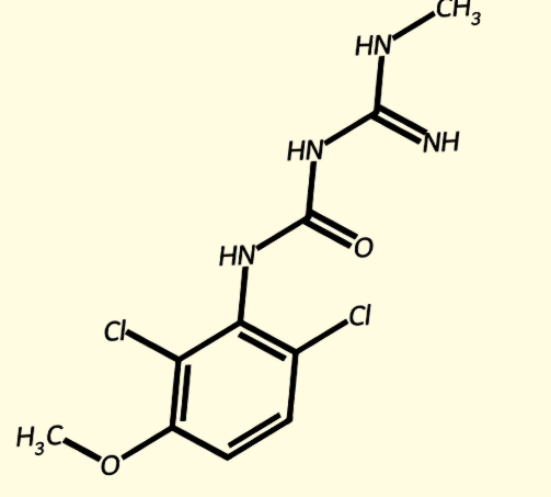 CNC(=N)NC(=O)Nc1c(Cl)ccc(OC)c1Cl